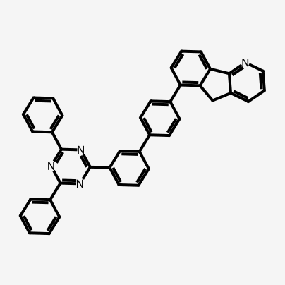 c1ccc(-c2nc(-c3ccccc3)nc(-c3cccc(-c4ccc(-c5cccc6c5Cc5cccnc5-6)cc4)c3)n2)cc1